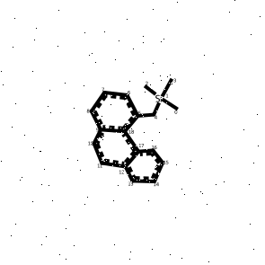 C[Si](C)(C)Cc1cccc2ccc3ccccc3c12